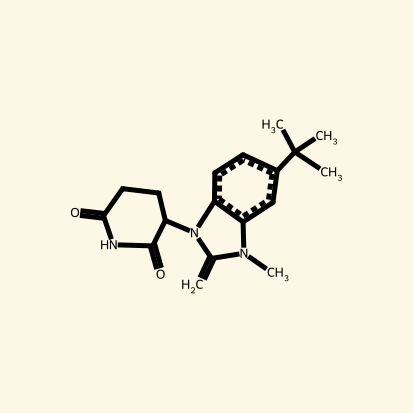 C=C1N(C)c2cc(C(C)(C)C)ccc2N1C1CCC(=O)NC1=O